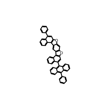 c1ccc(-c2c3ccccc3c(-c3cc4oc5cc6oc7cc(-c8ccccc8)c8ccccc8c7c6cc5c4c4ccccc34)c3ccccc23)cc1